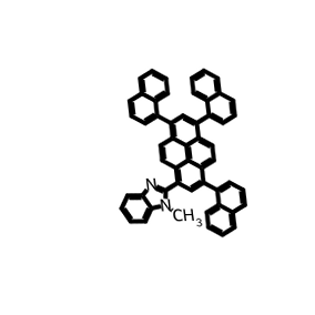 Cn1c(-c2cc(-c3cccc4ccccc34)c3ccc4c(-c5cccc6ccccc56)cc(-c5cccc6ccccc56)c5ccc2c3c45)nc2ccccc21